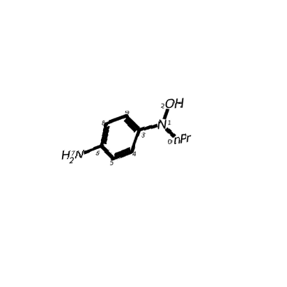 CCCN(O)c1ccc(N)cc1